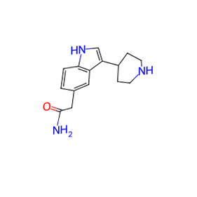 NC(=O)Cc1ccc2[nH]cc(C3CCNCC3)c2c1